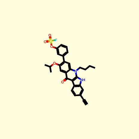 C#Cc1ccc2c(c1)[nH]c1c2c(=O)c2cc(OC(C)C)c(-c3cccc(OS(=O)(=O)F)c3)cc2n1CCCC